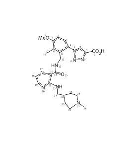 COc1ccc(-n2cc(C(=O)O)nn2)c(CNC(=O)c2nccnc2NCC2CCN(C)CC2)c1F